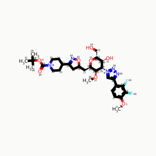 COc1ccc(-c2cn([C@H]3[C@@H](O)[C@@H](CO)O[C@H](CC4CC(C5CCN(C(=O)OC(C)(C)C)CC5)=NO4)[C@@H]3OC)nn2)c(F)c1F